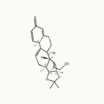 CC1(C)O[C@@H]2C[C@H]3[C@@H]4CCC5=CC(=O)C=C[C@]5(C)C4=CC[C@]3(C)[C@]2(C(=O)CO)O1